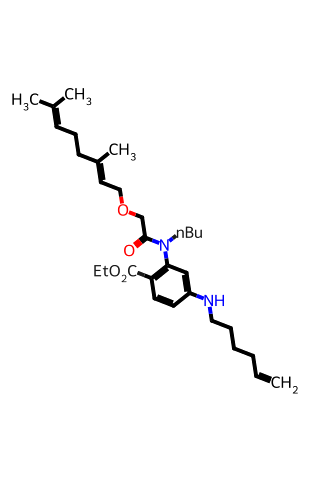 C=CCCCCNc1ccc(C(=O)OCC)c(N(CCCC)C(=O)COC/C=C(\C)CCC=C(C)C)c1